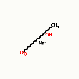 CCCCCC(O)C=CC=CCC=CCC=CCCCC(=O)[O-].[Na+]